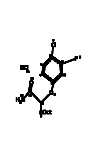 CCCCCCCCC(Oc1ccc(Cl)c(F)c1)C(N)=O.Cl